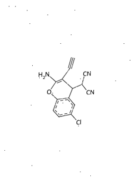 C#CC1=C(N)Oc2ccc(Cl)cc2C1C(C#N)C#N